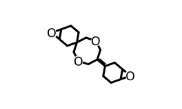 C1CC2OC2CC1=C1COCC2(CCC3OC3C2)COC1